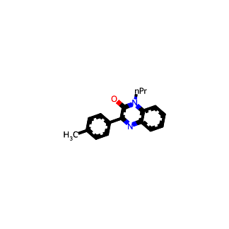 CCCn1c(=O)c(-c2ccc(C)cc2)nc2ccccc21